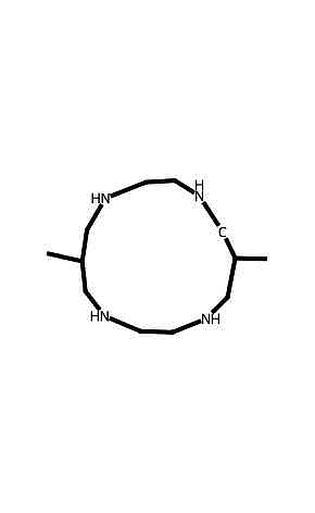 CC1CNCCNCC(C)CNCCNC1